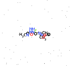 Cc1ccc(NC(=O)Nc2cccc(CN3C[C@@H](C)N(C(=O)OCc4ccccc4)[C@@H](C)C3)c2F)cn1